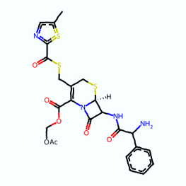 CC(=O)OCOC(=O)C1=C(CSC(=O)c2ncc(C)s2)CS[C@H]2C(NC(=O)C(N)c3ccccc3)C(=O)N12